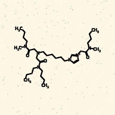 CCCCN(C)C(=O)CN(CCCCCCn1cc[n+](CC(=O)N(C)CCCC)c1)CC(=O)N(CCCC)CCCC